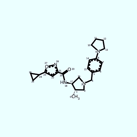 C[C@H]1CN(Cc2ccc(N3CCCC3)cc2)C[C@@H]1NC(=O)c1cc(C2CC2)on1